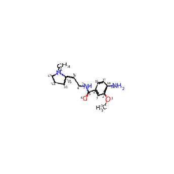 COc1cc(C(=O)NCCC2CCCN2C)ccc1N